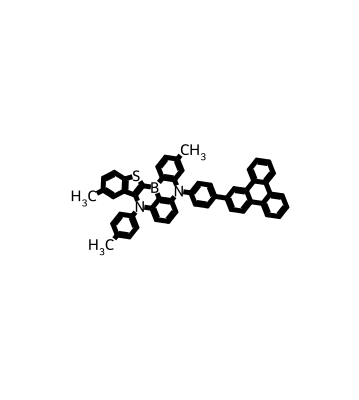 Cc1ccc(N2c3cccc4c3B(c3ccc(C)cc3N4c3ccc(-c4ccc5c6ccccc6c6ccccc6c5c4)cc3)c3sc4ccc(C)cc4c32)cc1